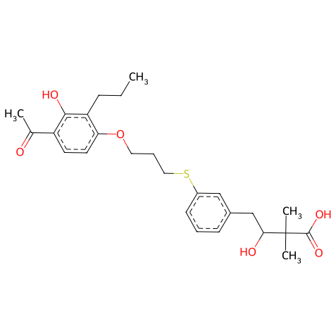 CCCc1c(OCCCSc2cccc(CC(O)C(C)(C)C(=O)O)c2)ccc(C(C)=O)c1O